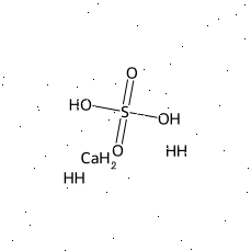 O=S(=O)(O)O.[CaH2].[HH].[HH]